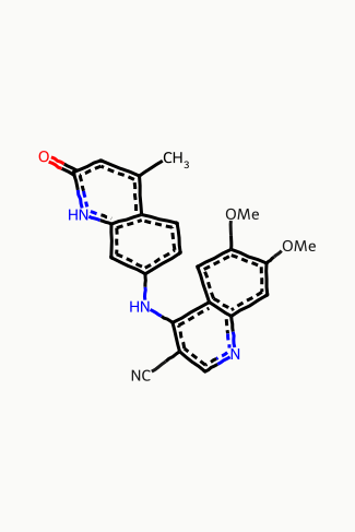 COc1cc2ncc(C#N)c(Nc3ccc4c(C)cc(=O)[nH]c4c3)c2cc1OC